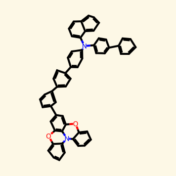 c1ccc(-c2ccc(N(c3ccc(-c4ccc(-c5cccc(-c6cc7c8c(c6)Oc6ccccc6N8c6ccccc6O7)c5)cc4)cc3)c3cccc4ccccc34)cc2)cc1